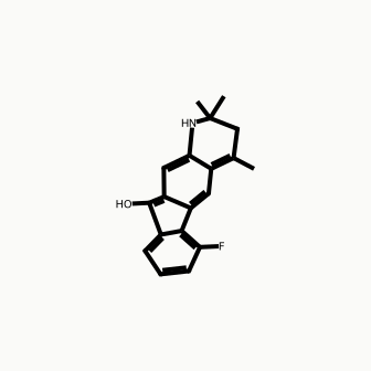 CC1=c2cc3c(cc2NC(C)(C)C1)=C(O)c1cccc(F)c1-3